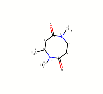 CC1CC(=O)N(C)CCC(=O)N1C